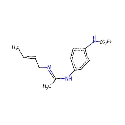 CC=CCN=C(C)Nc1ccc(NC(=O)OCC)cc1